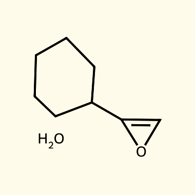 C1=C(C2CCCCC2)O1.O